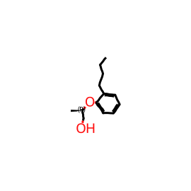 CCCCc1ccccc1O[C@H](C)CO